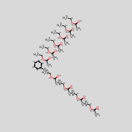 CCOC(C)=O.CCOC(C)=O.CCOC(C)=O.CCOC(C)=O.CCOC(C)=O.CCOC(C)=O.CCOC(C)=O.CCOC(C)=O.CCOC(C)=O.CCOC(C)=O.Cc1ccccc1